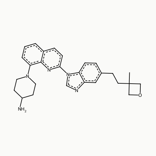 CC1(CCc2ccc3c(c2)ncn3-c2ccc3cccc(N4CCC(N)CC4)c3n2)COC1